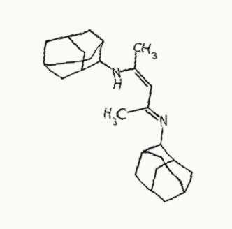 C/C(=C/C(C)=N/C1C2CC3CC(C2)CC1C3)NC1C2CC3CC(C2)CC1C3